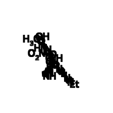 CCN1CCN(C2CC3(CCN(c4ccc(C(=O)NS(=O)(=O)c5cnc(NCC6CCC(C)(O)CC6)c([N+](=O)[O-])c5)c(Oc5cnc6[nH]ccc6c5)c4)CC3)C2)CC1